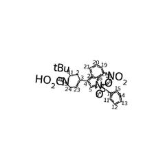 CC(C)(C)C1CC(c2cn(S(=O)(=O)c3ccccc3)c3c([N+](=O)[O-])cccc23)=CCN1C(=O)O